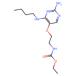 CCCCNc1nc(N)ncc1OCCNC(=O)OCC